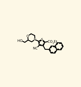 CCOC(=O)c1sc(N2CCOC(CO)C2)c(C#N)c1Cc1ccc2ccccc2c1